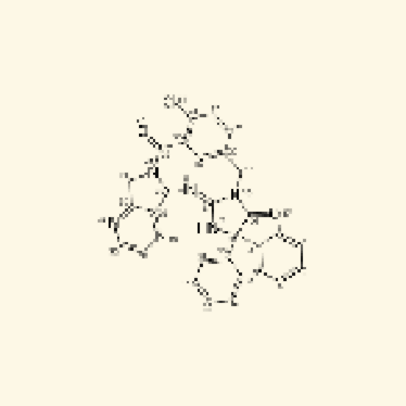 N=C1NC(c2ccccc2)(c2ccccc2)C(=O)N1Cc1ccc(Cl)c(C(=O)N2Cc3nccnc3C2)c1